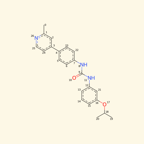 Cc1cc(-c2ccc(NC(=O)Nc3cccc(OC(C)C)c3)cc2)ccn1